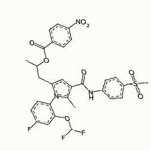 Cc1c(C(=O)Nc2ccc(S(C)(=O)=O)cc2)cc(CC(C)OC(=O)c2ccc([N+](=O)[O-])cc2)n1-c1ccc(F)cc1OC(F)F